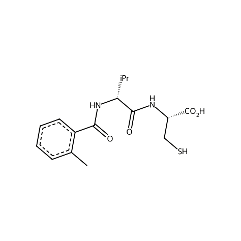 Cc1ccccc1C(=O)N[C@@H](C(=O)N[C@@H](CS)C(=O)O)C(C)C